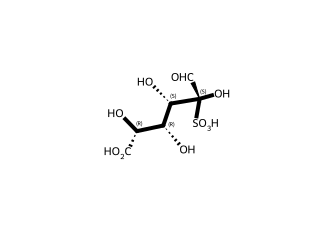 O=C[C@](O)([C@@H](O)[C@H](O)[C@@H](O)C(=O)O)S(=O)(=O)O